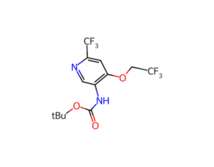 CC(C)(C)OC(=O)Nc1cnc(C(F)(F)F)cc1OCC(F)(F)F